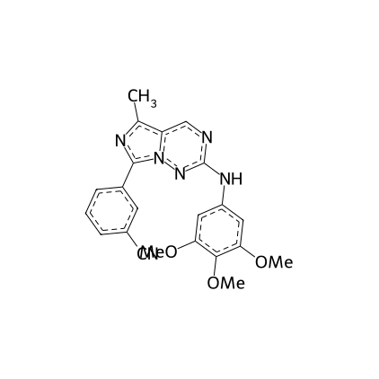 COc1cc(Nc2ncc3c(C)nc(-c4cccc(C#N)c4)n3n2)cc(OC)c1OC